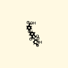 O=C1CCC(N2C(=O)c3ccc(Oc4ccc(C(=O)O)cc4)cc3C2=O)C(=O)N1